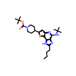 CCCCc1nc2c(NC(C)(C)C)nc3cc(C4CCN(C(=O)OC(C)(C)C)CC4)sc3c2[nH]1